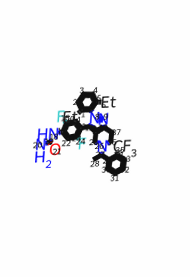 CCc1cccc(CC)c1-n1nc2c(c1-c1cc(F)c(NC(N)=O)cc1F)CN(C(C)c1ccccc1C(F)(F)F)CC2